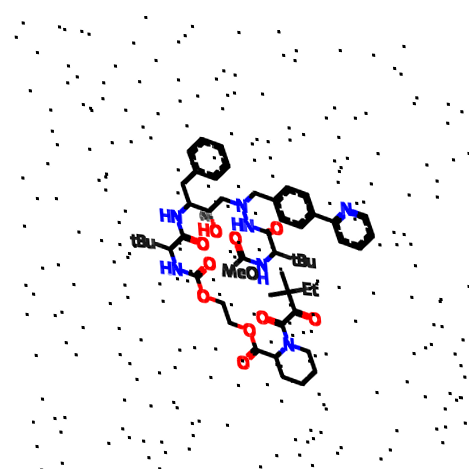 CCC(C)(C)C(=O)C(=O)N1CCCCC1C(=O)OCCOC(=O)NC(C(=O)NC(Cc1ccccc1)[C@@H](O)CN(Cc1ccc(-c2ccccn2)cc1)NC(=O)C(NC(=O)OC)C(C)(C)C)C(C)(C)C